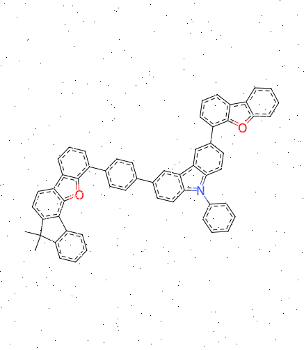 CC1(C)c2ccccc2-c2c1ccc1c2oc2c(-c3ccc(-c4ccc5c(c4)c4cc(-c6cccc7c6oc6ccccc67)ccc4n5-c4ccccc4)cc3)cccc21